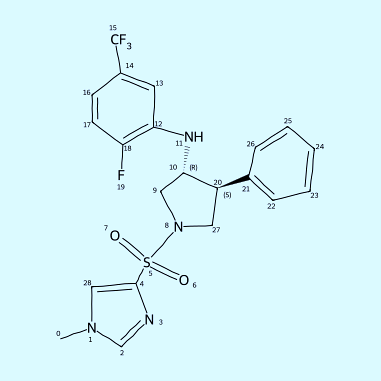 Cn1cnc(S(=O)(=O)N2C[C@H](Nc3cc(C(F)(F)F)ccc3F)[C@@H](c3ccccc3)C2)c1